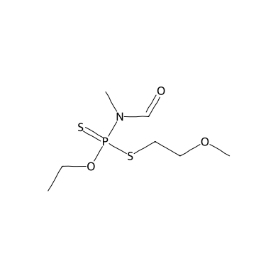 CCOP(=S)(SCCOC)N(C)C=O